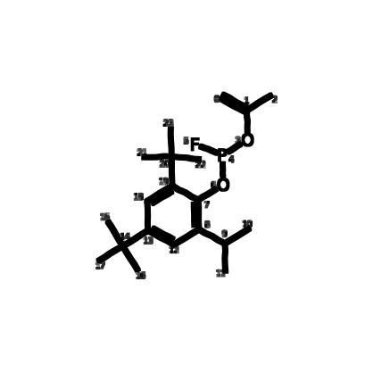 C=C(C)OP(F)Oc1c(C(C)C)cc(C(C)(C)C)cc1C(C)(C)C